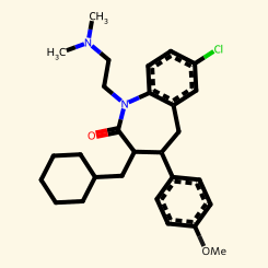 COc1ccc(C2Cc3cc(Cl)ccc3N(CCN(C)C)C(=O)C2CC2CCCCC2)cc1